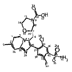 Cc1ccn2c(C[C@H]3CN(C(=O)O)CCO3)c(-c3cc(F)c(S(N)(=O)=O)cc3Cl)nc2c1